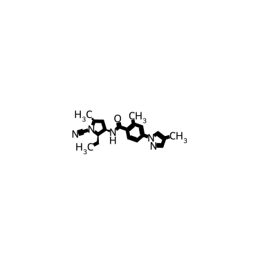 CC[C@@H]1[C@H](NC(=O)c2ccc(-n3cc(C)cn3)cc2C)C[C@H](C)N1C#N